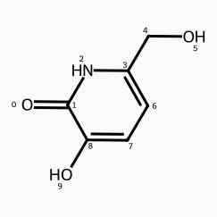 O=c1[nH]c(CO)ccc1O